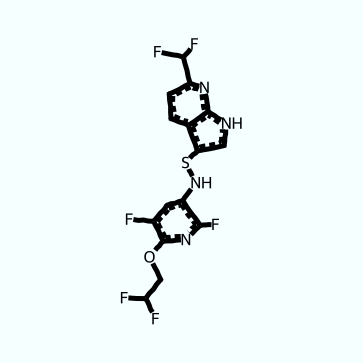 Fc1cc(NSc2c[nH]c3nc(C(F)F)ccc23)c(F)nc1OCC(F)F